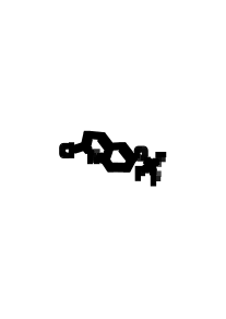 FC(F)(F)Oc1ccc2nc(Cl)ccc2c1